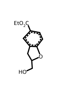 CCOC(=O)c1ccc2c(c1)CC(CO)O2